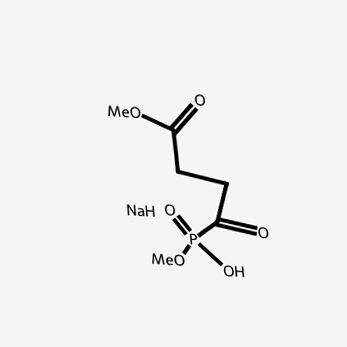 COC(=O)CCC(=O)P(=O)(O)OC.[NaH]